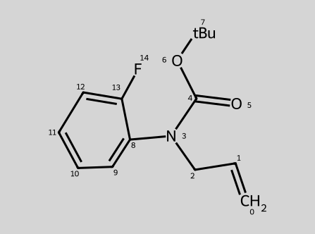 C=CCN(C(=O)OC(C)(C)C)c1ccccc1F